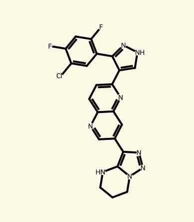 Fc1cc(F)c(-c2n[nH]cc2-c2ccc3ncc(-c4nnn5c4NCCC5)cc3n2)cc1Cl